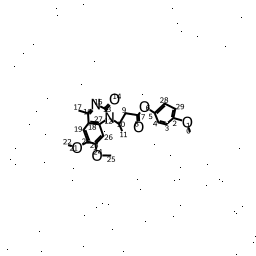 COc1ccc(OC(=O)CC(C)n2c(=O)nc(C)c3cc(OC)c(OC)cc32)cc1